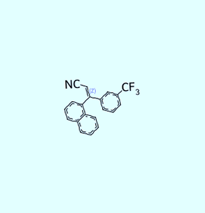 N#C/C=C(/c1cccc(C(F)(F)F)c1)c1cccc2ccccc12